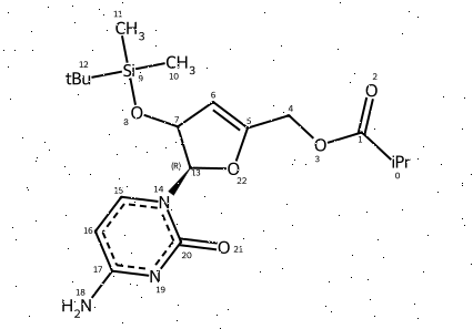 CC(C)C(=O)OCC1=CC(O[Si](C)(C)C(C)(C)C)[C@H](n2ccc(N)nc2=O)O1